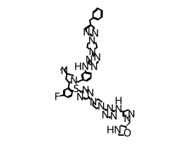 CN(C)C1CC(c2cc(F)ccc2Sc2ncc(N3CCN(c4ncnc(Nc5cnn(C[C@@H]6CNCCO6)c5)n4)CC3)nn2)N(Cc2cccc(Nc3ncnc(N4CCN(c5ncc(Cc6ccccc6)cn5)CC4)n3)c2)C1